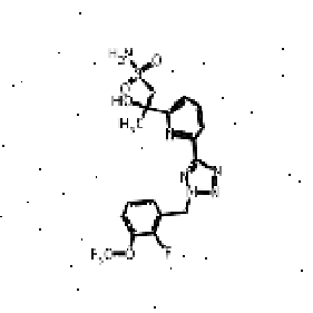 CC(O)(CS(N)(=O)=O)c1cccc(-c2nnn(Cc3cccc(OC(F)(F)F)c3F)n2)n1